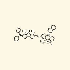 CC1(C)c2cc(/C=C/c3ccc4c(c3)C(C)(C)c3ccccc3N4c3ccc4ccccc4c3)ccc2-c2ccc(N(c3ccccc3)c3ccccc3)cc21